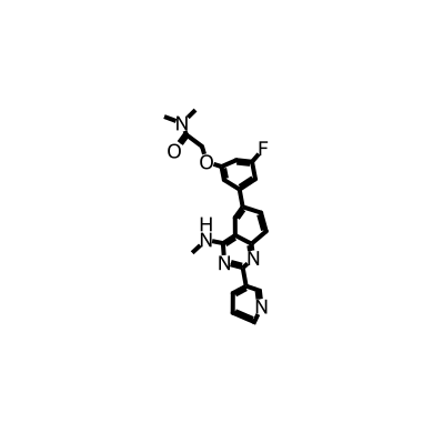 CNc1nc(-c2cccnc2)nc2ccc(-c3cc(F)cc(OCC(=O)N(C)C)c3)cc12